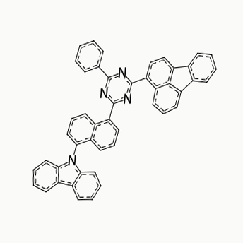 c1ccc(-c2nc(-c3cccc4c(-n5c6ccccc6c6ccccc65)cccc34)nc(-c3ccc4c5c(cccc35)-c3ccccc3-4)n2)cc1